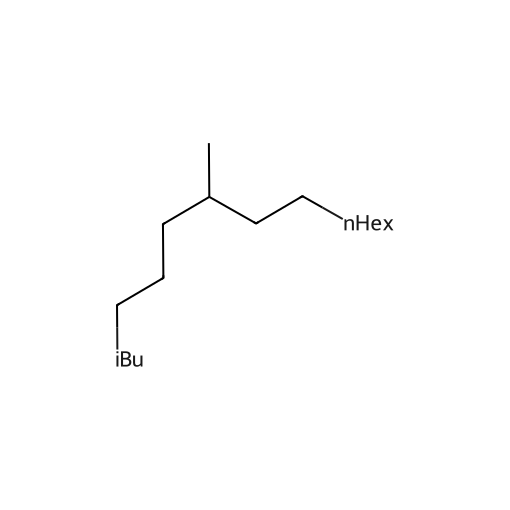 [CH2]CC(C)CCCC(C)CCCCCCCC